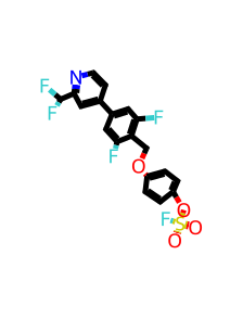 O=S(=O)(F)Oc1ccc(OCc2c(F)cc(-c3ccnc(C(F)F)c3)cc2F)cc1